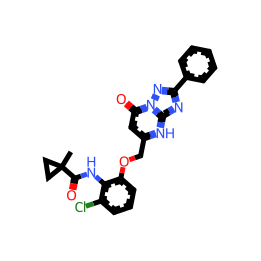 CC1(C(=O)Nc2c(Cl)cccc2OCc2cc(=O)n3nc(-c4ccccc4)nc3[nH]2)CC1